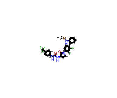 CSNc1ccccc1-c1ccc(N2CCC(NC(=O)Nc3ccc(C(F)(F)F)cc3)C2=O)c(F)c1F